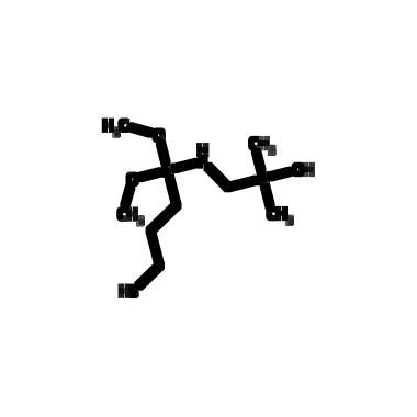 CO[Si](CCCS)(OC)PC[Si](C)(C)O